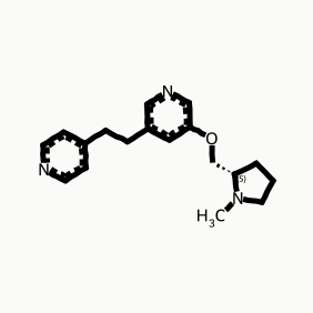 CN1CCC[C@H]1COc1cncc(CCc2ccncc2)c1